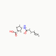 C=CCCC(=O)N[C@H]1CC[C@@H](C(=O)O)C1